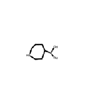 OB(O)C1CCCNCC1